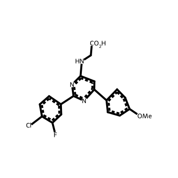 COc1ccc(-c2cc(NCC(=O)O)nc(-c3ccc(Cl)c(F)c3)n2)cc1